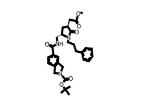 COC(=O)C[C@@H]1C[C@@H](CNC(=O)c2ccc3c(c2)CN(C(=O)OC(C)(C)C)C3)N(CCCc2ccccc2)C1=O